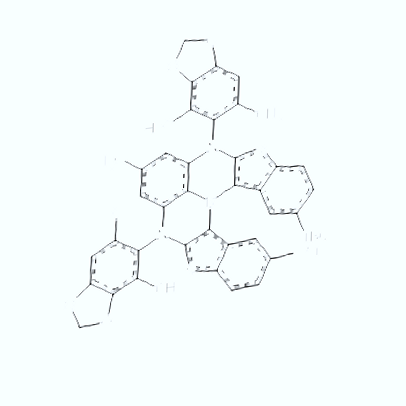 Cc1cc2c3c(c1)N(c1c(C)cc4c(c1C)OCO4)c1sc4ccc(C(C)(C)C)cc4c1B3c1c(sc3ccc(C(C)(C)C)cc13)N2c1c(C)cc2c(c1C)OCO2